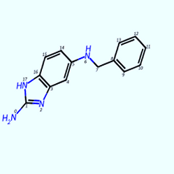 Nc1nc2cc(NCc3ccccc3)ccc2[nH]1